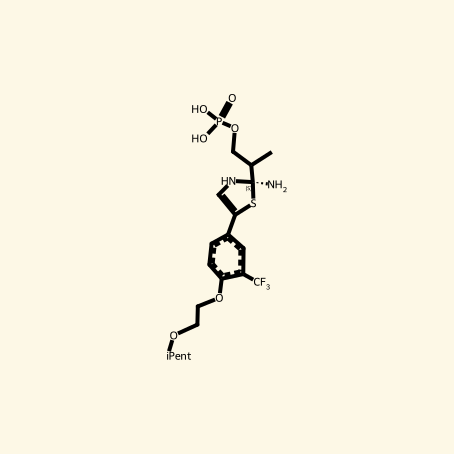 CCCC(C)OCCOc1ccc(C2=CN[C@@](N)(C(C)COP(=O)(O)O)S2)cc1C(F)(F)F